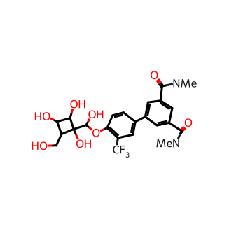 CNC(=O)c1cc(C(=O)NC)cc(-c2ccc(OC(O)C3(O)C(O)C(O)C3CO)c(C(F)(F)F)c2)c1